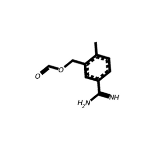 Cc1ccc(C(=N)N)cc1COC=O